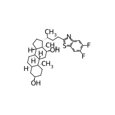 CC(CCc1nc2cc(F)c(F)cc2s1)[C@H]1CC[C@H]2[C@@H]3CC[C@@H]4C[C@H](O)CC[C@]4(C)[C@H]3C[C@H](O)[C@]12C